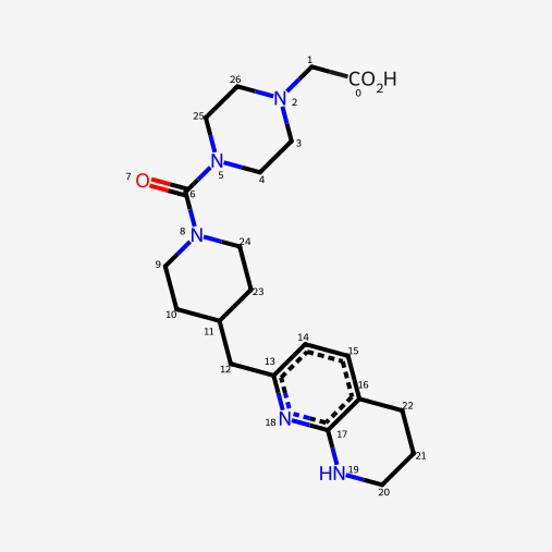 O=C(O)CN1CCN(C(=O)N2CCC(Cc3ccc4c(n3)NCCC4)CC2)CC1